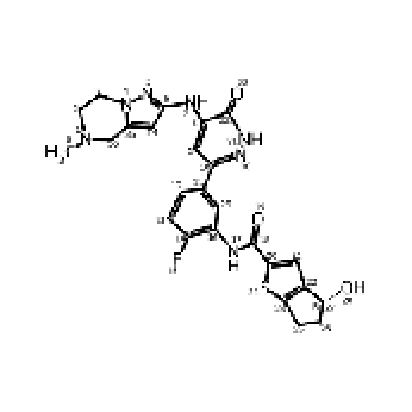 CN1CCn2nc(Nc3cc(-c4ccc(F)c(NC(=O)c5cc6c(s5)CC[C@H]6O)c4)n[nH]c3=O)cc2C1